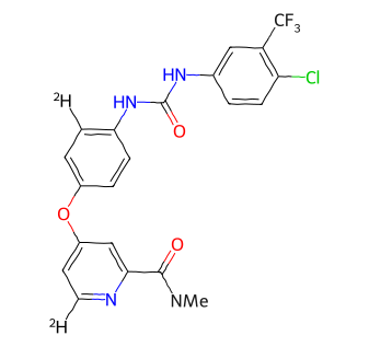 [2H]c1cc(Oc2ccc(NC(=O)Nc3ccc(Cl)c(C(F)(F)F)c3)c([2H])c2)cc(C(=O)NC)n1